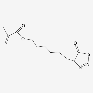 C=C(C)C(=O)OCCCCCCC1N=NSC1=O